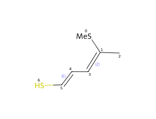 CS/C(C)=C\C=C\S